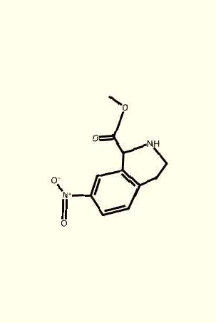 COC(=O)C1NCCc2ccc([N+](=O)[O-])cc21